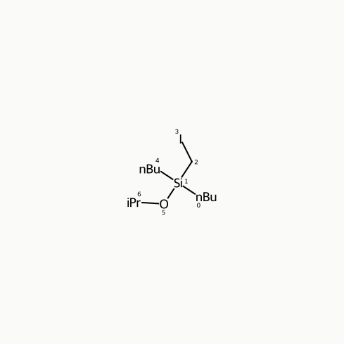 CCCC[Si](CI)(CCCC)OC(C)C